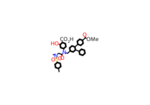 COC(=O)c1ccc(-c2ccc(CN(C(=O)CN(C)S(=O)(=O)c3ccc(C)cc3)c3ccc(C(=O)O)c(O)c3)cc2-c2ccccc2)cc1